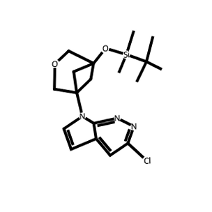 CC(C)(C)[Si](C)(C)OC12COCC(n3ccc4cc(Cl)nnc43)(C1)C2